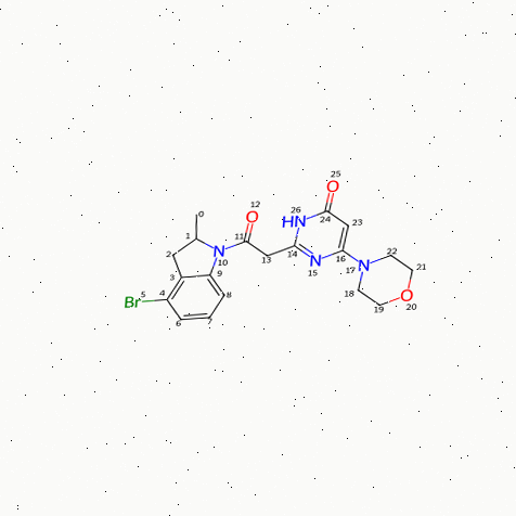 CC1Cc2c(Br)cccc2N1C(=O)Cc1nc(N2CCOCC2)cc(=O)[nH]1